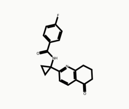 O=C(NC1(c2ccc3c(n2)CCCC3=O)CC1)c1ccc(F)cc1